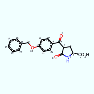 O=C1N[C@H](C(=O)O)CC1C(=O)c1ccc(OCc2ccccc2)cc1